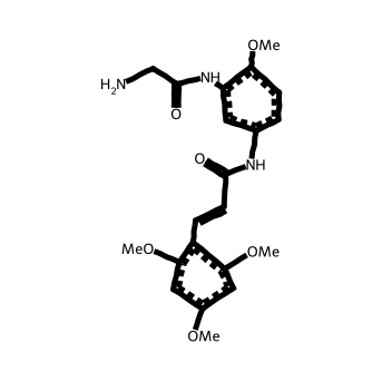 COc1cc(OC)c(/C=C/C(=O)Nc2ccc(OC)c(NC(=O)CN)c2)c(OC)c1